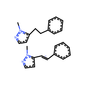 Cn1nccc1/C=C/c1ccccc1.Cn1nccc1CCc1ccccc1